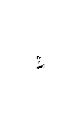 [C]=O.[Fe].[P]